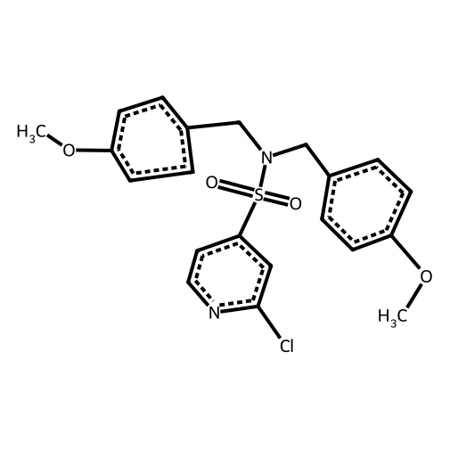 COc1ccc(CN(Cc2ccc(OC)cc2)S(=O)(=O)c2ccnc(Cl)c2)cc1